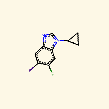 Fc1cc2c(cc1I)ncn2C1CC1